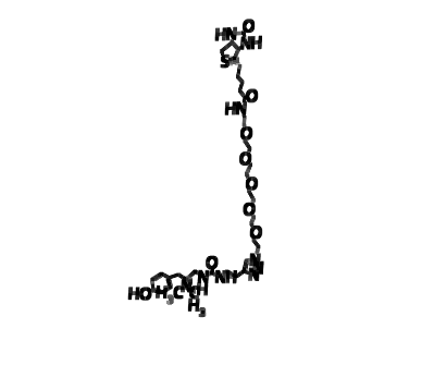 CN(C)[C@H](CNC(=O)NCCc1cn(CCOCCOCCOCCOCCOCCNC(=O)CCCC[C@@H]2SCC3NC(=O)NC32)nn1)Cc1ccc(O)cc1